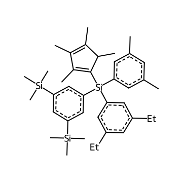 CCc1cc(CC)cc([Si](C2=C(C)C(C)=C(C)C2C)(c2cc(C)cc(C)c2)c2cc([Si](C)(C)C)cc([Si](C)(C)C)c2)c1